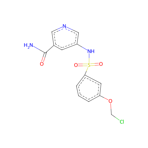 NC(=O)c1cncc(NS(=O)(=O)c2cccc(OCCl)c2)c1